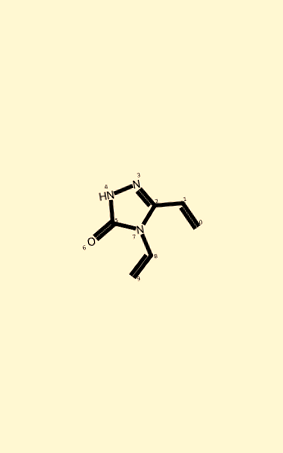 C=Cc1n[nH]c(=O)n1C=C